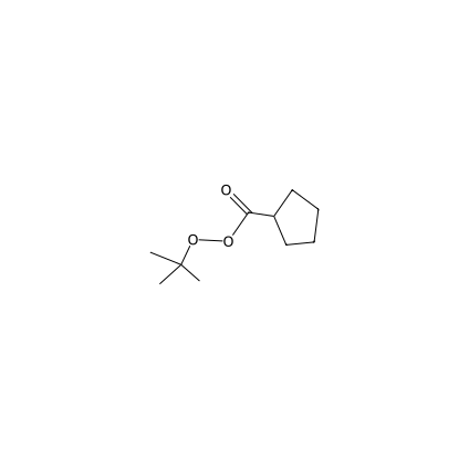 CC(C)(C)OOC(=O)C1CCCC1